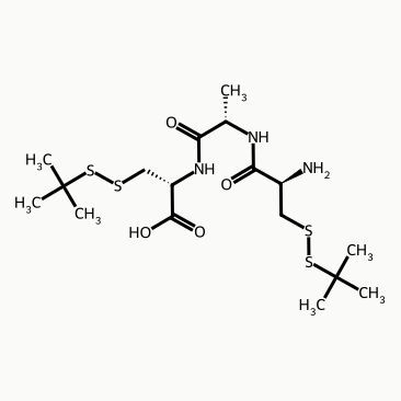 C[C@H](NC(=O)[C@@H](N)CSSC(C)(C)C)C(=O)N[C@@H](CSSC(C)(C)C)C(=O)O